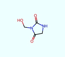 O=C1CNC(=O)N1CO